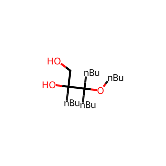 CCCCOC(CCCC)(CCCC)C(O)(CO)CCCC